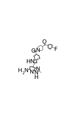 Cc1nc2c(-c3cc4ccc(C(=O)N5CCC(C(=O)c6ccc(F)cc6)CC5)cc4[nH]3)cc(N)nc2[nH]1